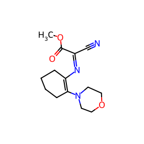 COC(=O)C(C#N)=NC1=C(N2CCOCC2)CCCC1